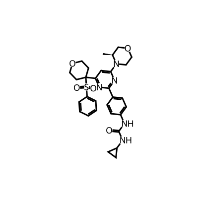 C[C@H]1COCCN1c1cc(C2(S(=O)(=O)c3ccccc3)CCOCC2)nc(-c2ccc(NC(=O)NC3CC3)cc2)n1